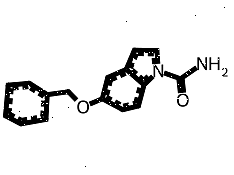 NC(=O)n1ccc2cc(OCc3ccccc3)ccc21